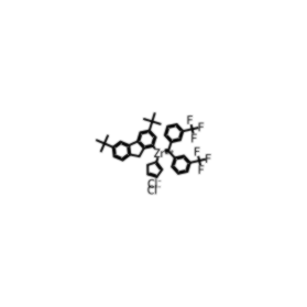 CC(C)(C)c1ccc2c(c1)-c1cc(C(C)(C)C)c[c]([Zr+2]([C]3=CC=CC3)=[C](c3cccc(C(F)(F)F)c3)c3cccc(C(F)(F)F)c3)c1C2.[Cl-].[Cl-]